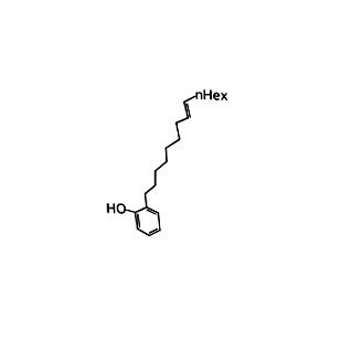 CCCCCCC=CCCCCCCCc1ccccc1O